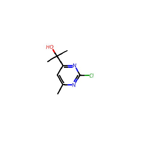 Cc1cc(C(C)(C)O)nc(Cl)n1